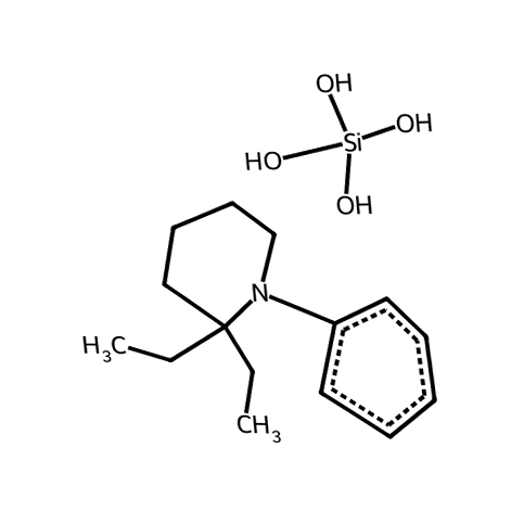 CCC1(CC)CCCCN1c1ccccc1.O[Si](O)(O)O